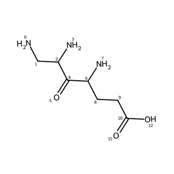 NCC(N)C(=O)C(N)CCC(=O)O